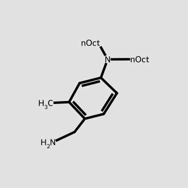 CCCCCCCCN(CCCCCCCC)c1ccc(CN)c(C)c1